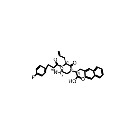 C=CC[C@H]1C(=O)N([C@@H](Cc2ccc3ccccc3c2)C(=O)O)CCN1C(=O)[C@H](N)Cc1ccc(F)cc1